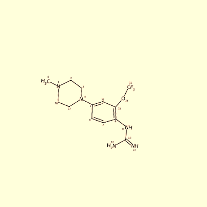 CN1CCN(c2ccc(NC(=N)N)c(OC(F)(F)F)c2)CC1